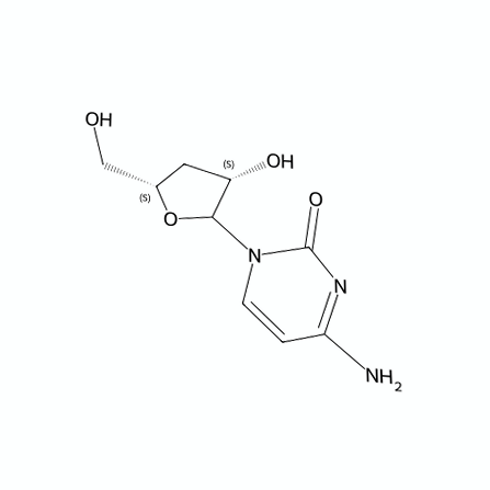 Nc1ccn(C2O[C@H](CO)C[C@@H]2O)c(=O)n1